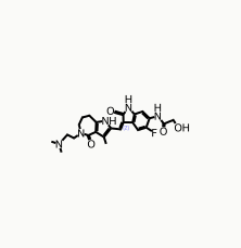 Cc1c(/C=C2\C(=O)Nc3cc(NC(=O)CO)c(F)cc32)[nH]c2c1C(=O)N(CCN(C)C)CCC2